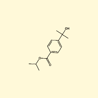 CC(C)OC(=O)c1ccc(C(C)(C)O)cc1